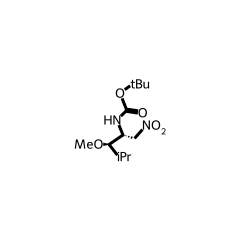 CO[C@H](C(C)C)[C@@H](C[N+](=O)[O-])NC(=O)OC(C)(C)C